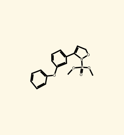 COP(=O)(OC)N1OCC=C1c1cccc(Oc2ccccc2)c1